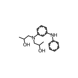 CC(O)CN(CC(C)O)c1cccc(Nc2ccccc2)c1